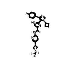 [2H]C([2H])([2H])N1CC(c2ccc(NC(=O)c3c[nH]c(-c4c(-c5ccc(F)cc5)ncn4C4CCC4)n3)nc2)C1